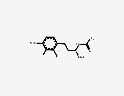 COc1ccc(CC[C@@H](NC(=O)C(F)(F)F)C(=O)O)c(F)c1F